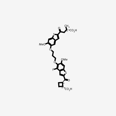 COc1cc2sc(C(=O)C[C@H](C)C(=O)O)cc2cc1OCCCOc1c(OC)cc2sc(C(=O)[C@@H]3CC[C@H]3C(=O)O)cc2c1F